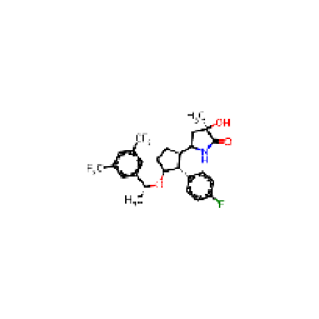 C[C@@H](O[C@H]1CC[C@@H]([C@H]2C[C@@](C)(O)C(=O)N2)[C@@H]1c1ccc(F)cc1)c1cc(C(F)(F)F)cc(C(F)(F)F)c1